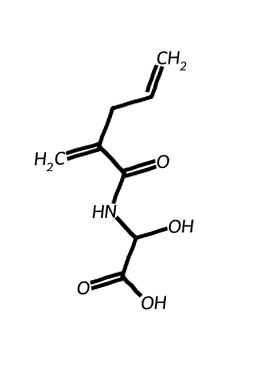 C=CCC(=C)C(=O)NC(O)C(=O)O